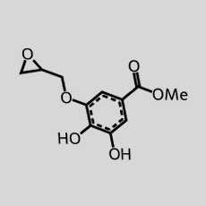 COC(=O)c1cc(O)c(O)c(OCC2CO2)c1